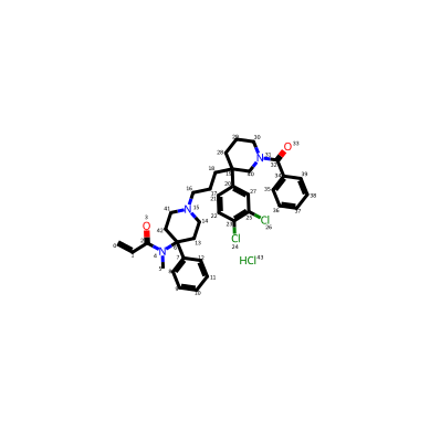 C=CC(=O)N(C)C1(c2ccccc2)CCN(CCCC2(c3ccc(Cl)c(Cl)c3)CCCN(C(=O)c3ccccc3)C2)CC1.Cl